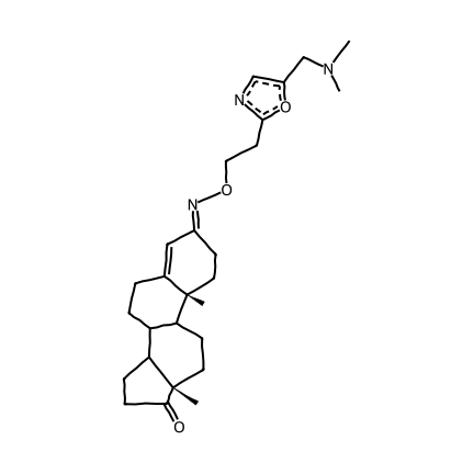 CN(C)Cc1cnc(CCON=C2C=C3CCC4C(CC[C@]5(C)C(=O)CCC45)[C@@]3(C)CC2)o1